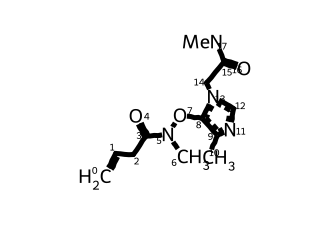 C=CCC(=O)N(C)Oc1c(C)ncn1CC(=O)NC